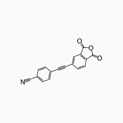 N#Cc1ccc(C#Cc2ccc3c(c2)C(=O)OC3=O)cc1